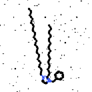 CCCCCCCCCCCCCCCCCCC[n+]1ccn(Cc2ccccc2)c1CCCCCCCCCCCCCC